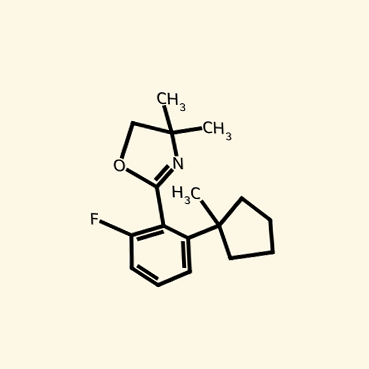 CC1(C)COC(c2c(F)cccc2C2(C)CCCC2)=N1